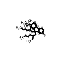 CCCCC(CC)CC1(CC(CC)CCCC)c2cc(Br)ccc2-c2ccc([Si](C)(C)C)cc21